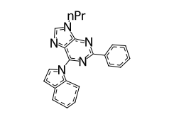 CCCn1cnc2c(-n3ccc4ccccc43)nc(-c3ccccc3)nc21